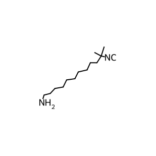 [C-]#[N+]C(C)(C)CCCCCCCCCCN